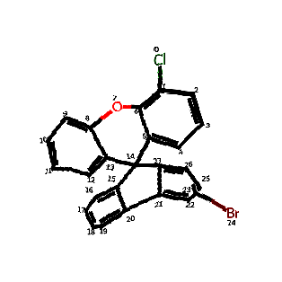 Clc1cccc2c1Oc1ccccc1C21c2ccccc2-c2cc(Br)ccc21